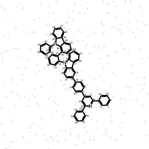 c1ccc(-c2cc(-c3ccc(-c4ccc5c(c4)c4ccccc4n5-c4ccccc4-c4cccc5c6ccccc6n(-c6ccccc6)c45)cc3)cc(-c3ccccc3)n2)cc1